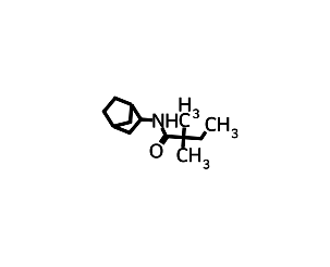 CCC(C)(C)C(=O)NC1CC2CCC1C2